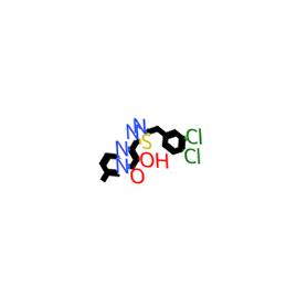 Cc1ccc2nc(-c3nnc(Cc4ccc(Cl)c(Cl)c4)s3)c(O)c(=O)n2c1